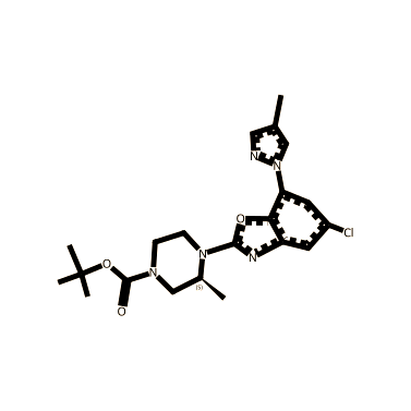 Cc1cnn(-c2cc(Cl)cc3nc(N4CCN(C(=O)OC(C)(C)C)C[C@@H]4C)oc23)c1